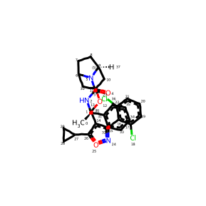 C[C@@H](NC(=O)N1C2CC[C@H]1CC(OCc1c(-c3c(Cl)cccc3Cl)noc1C1CC1)C2)c1ccccc1